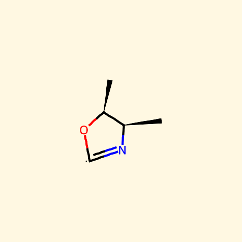 C[C@@H]1O[C]=N[C@@H]1C